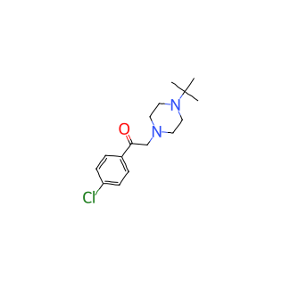 CC(C)(C)N1CCN(CC(=O)c2ccc(Cl)cc2)CC1